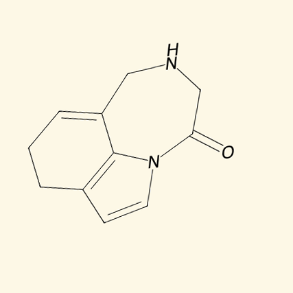 O=C1CNCC2=CCCc3ccn1c32